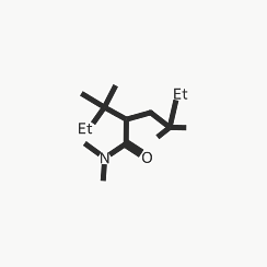 CCC(C)(C)CC(C(=O)N(C)C)C(C)(C)CC